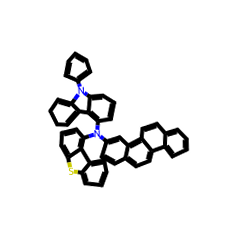 C1=c2c(n(-c3ccccc3)c3cccc(N(c4ccc5ccc6c7ccccc7ccc6c5c4)c4cccc5sc6ccccc6c45)c23)=CCC1